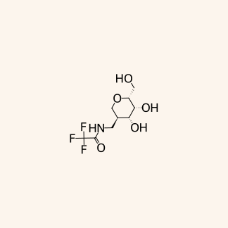 O=C(NC[C@H]1CO[C@H](CO)[C@H](O)[C@@H]1O)C(F)(F)F